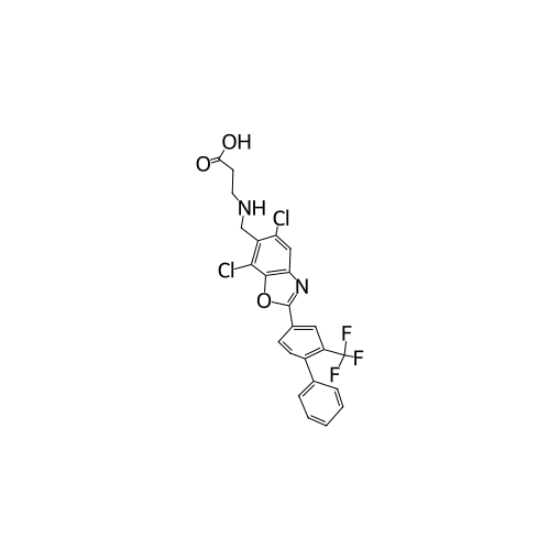 O=C(O)CCNCc1c(Cl)cc2nc(-c3ccc(-c4ccccc4)c(C(F)(F)F)c3)oc2c1Cl